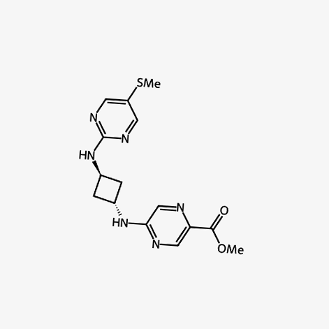 COC(=O)c1cnc(N[C@H]2C[C@H](Nc3ncc(SC)cn3)C2)cn1